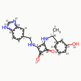 C[C@@H](Nc1c(NCc2ccc3[nH]cnc3c2)c(=O)c1=O)c1cccc(O)c1